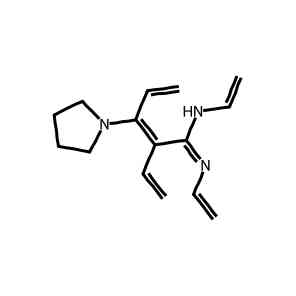 C=C/N=C(NC=C)\C(C=C)=C(/C=C)N1CCCC1